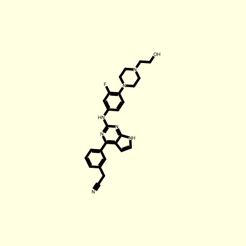 N#CCc1cccc(-c2nc(Nc3ccc(N4CCN(CCO)CC4)c(F)c3)nc3[nH]ccc23)c1